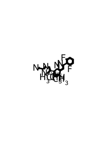 Cc1nc(C#N)ncc1[C@@]12CC[C@@H](c3cc(-c4c(F)cccc4F)nnc31)C2(C)C